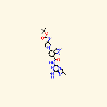 CNc1nc(NC(=O)c2ccc(N3CC[C@@H](N(C)C(=O)OC(C)(C)C)C3)c3cn(C)nc23)cn2cc(C)nc12